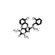 CN(Cc1ccccc1Cl)c1nc2c(c(=O)n(C)c(=O)n2C)n1Cc1c(F)cccc1Cl